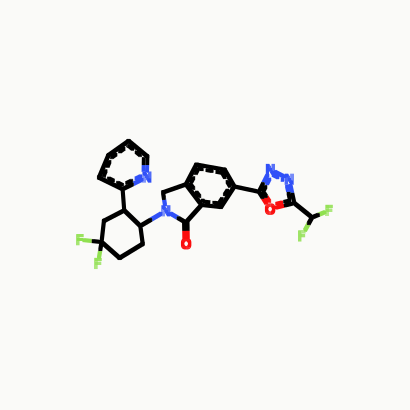 O=C1c2cc(-c3nnc(C(F)F)o3)ccc2CN1C1CCC(F)(F)CC1c1ccccn1